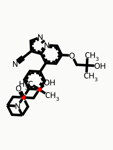 CC(C)(O)COc1cc(-c2ccc(N3CC4CC(C3)N4C(=O)CC(C)(C)O)nc2)c2c(C#N)cnn2c1